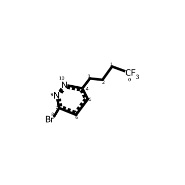 FC(F)(F)CCCc1ccc(Br)nn1